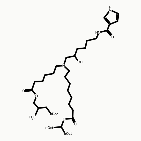 CCCCCCCCCCCC(C)COC(=O)CCCCCN(CCCCCCCC(=O)OC(CCCCCCCC)CCCCCCCC)CC(O)CCCCNC(=O)c1cc[nH]c1